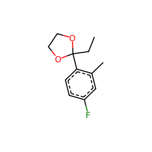 CCC1(c2ccc(F)cc2C)OCCO1